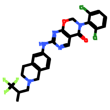 CC(CN1CCc2cc(Nc3ncc4c(n3)OCN(c3c(Cl)cccc3Cl)C4=O)ccc2C1)C(F)(F)F